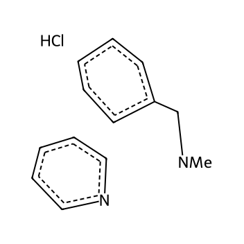 CNCc1ccccc1.Cl.c1ccncc1